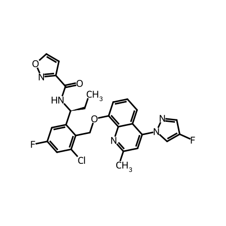 CC[C@H](NC(=O)c1ccon1)c1cc(F)cc(Cl)c1COc1cccc2c(-n3cc(F)cn3)cc(C)nc12